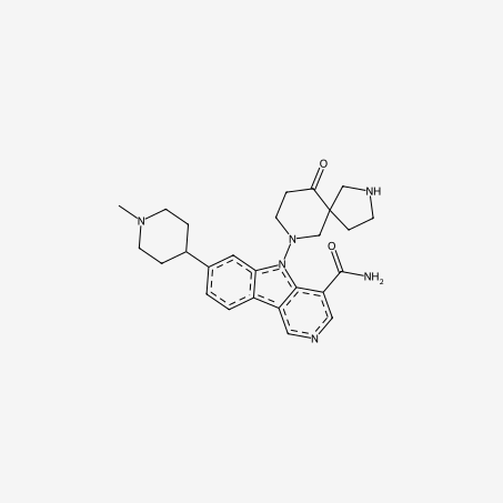 CN1CCC(c2ccc3c4cncc(C(N)=O)c4n(N4CCC(=O)C5(CCNC5)C4)c3c2)CC1